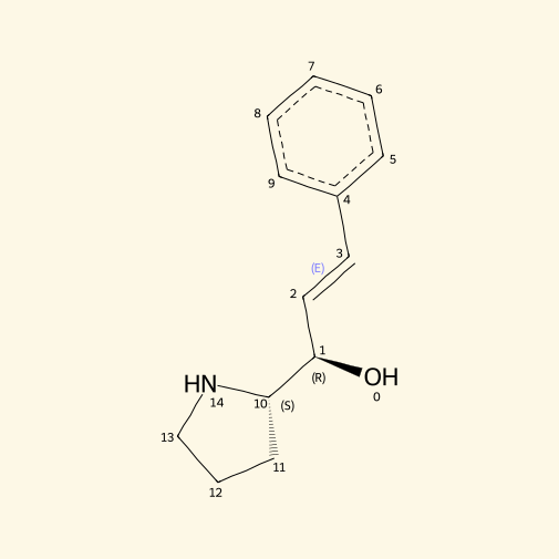 O[C@H](/C=C/c1ccccc1)[C@@H]1CCCN1